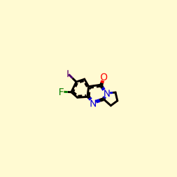 O=c1c2cc(I)c(F)cc2nc2n1CCC2